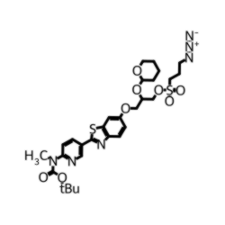 CN(C(=O)OC(C)(C)C)c1ccc(-c2nc3ccc(OCC(COS(=O)(=O)CCCN=[N+]=[N-])OC4CCCCO4)cc3s2)cn1